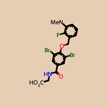 CNc1cccc(COc2c(Br)cc(C(=O)NCC(=O)O)cc2Br)c1F